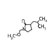 COCN1CCC(CC(C)C)C1=O